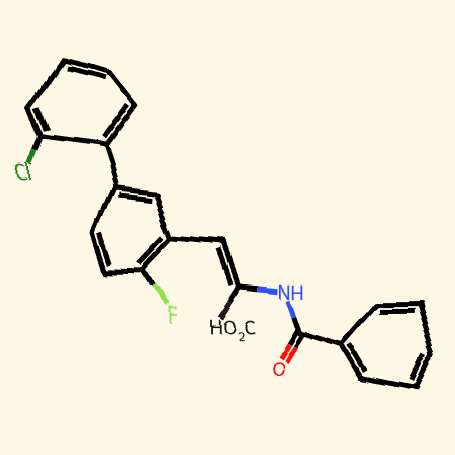 O=C(O)/C(=C\c1cc(-c2ccccc2Cl)ccc1F)NC(=O)c1ccccc1